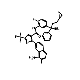 Cc1ccc2ccc(-n3nc(C(F)(F)F)cc3C(=O)Nc3cc(C(N)(CCC4CC4)c4ccccc4)ccc3F)cc2c1N